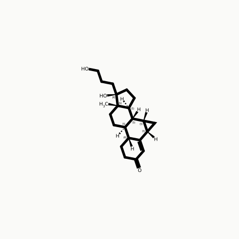 C[C@]12CC[C@H]3[C@@H]([C@@H]4C[C@@H]4C4=CC(=O)CC[C@@H]43)[C@@H]1CC[C@@]2(O)CCCO